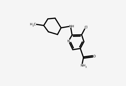 CC1CCC(Nc2ncc(C(N)=O)cc2Cl)CC1